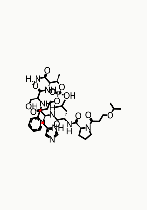 CC(C)C[C@H](NC(=O)[C@@H]1CCCN1C(=O)CCOC(C)C)C(=O)N[C@@H](Cc1cnc[nH]1)C(=O)N[C@@H](CO)C(=O)N[C@H](C(N)=O)[C@@H](C)OP(=O)(O)OCCCc1ccccn1